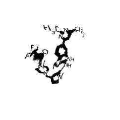 Cc1cc(-c2ccc3nc(Nc4cc(CN5CCN(C(=O)CC(F)(F)F)CC5)ccn4)[nH]c3c2)nc(C)n1